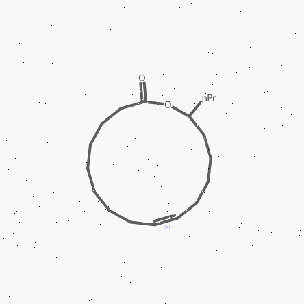 CCCC1CCCC/C=C\CCCCCCCC(=O)O1